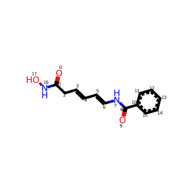 O=C(C/C=C/C=C/NC(=O)c1ccccc1)NO